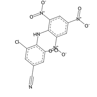 N#Cc1cc(Cl)c(Nc2c([N+](=O)[O-])cc([N+](=O)[O-])cc2[N+](=O)[O-])c(Cl)c1